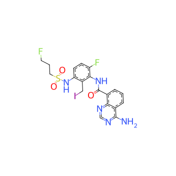 Nc1ncnc2c(C(=O)Nc3c(F)ccc(NS(=O)(=O)CCCF)c3CI)cccc12